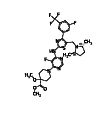 COC(=O)C1(OC)CCN(c2ncnc(Nc3nc(-c4cc(F)cc(C(F)(F)F)c4)c(CN4[C@H](C)CC[C@H]4C)s3)c2F)CC1